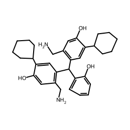 NCc1cc(O)c(C2CCCCC2)cc1C(c1ccccc1O)c1cc(C2CCCCC2)c(O)cc1CN